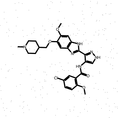 COc1cc2[nH]c(-c3n[nH]cc3NC(=O)c3cc(Cl)ccc3OC)nc2cc1OCC1CCN(C)CC1